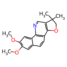 COc1cc2ccc3c4c(cnc3c2cc1OC)C(C)(C)CO4